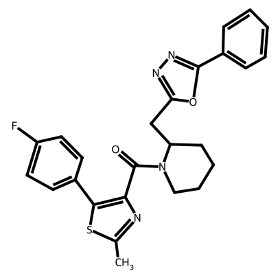 Cc1nc(C(=O)N2CCCCC2Cc2nnc(-c3ccccc3)o2)c(-c2ccc(F)cc2)s1